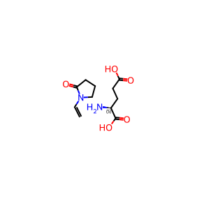 C=CN1CCCC1=O.N[C@@H](CCC(=O)O)C(=O)O